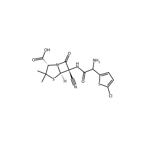 CC1(C)S[C@H]2N(C(=O)[C@]2(C#N)NC(=O)C(N)c2ccc(Cl)s2)[C@H]1C(=O)O